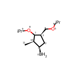 B[C@@H]1C[C@H](COC(C)C)C(OC(C)C)[C@@H]1C